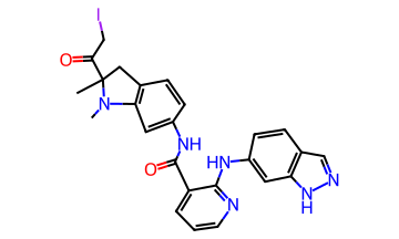 CN1c2cc(NC(=O)c3cccnc3Nc3ccc4cn[nH]c4c3)ccc2CC1(C)C(=O)CI